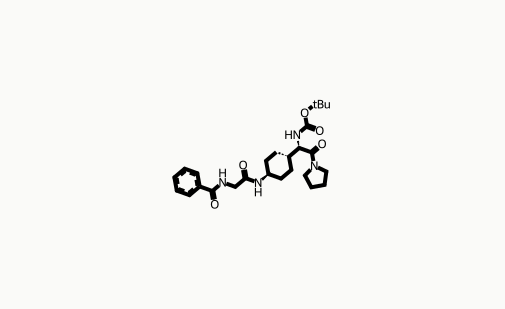 CC(C)(C)OC(=O)N[C@H](C(=O)N1CCCC1)[C@H]1CC[C@H](NC(=O)CNC(=O)c2ccccc2)CC1